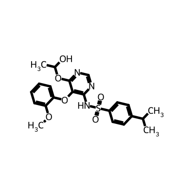 COc1ccccc1Oc1c(NS(=O)(=O)c2ccc(C(C)C)cc2)ncnc1OC(C)O